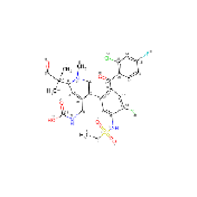 CCS(=O)(=O)Nc1cc(C2=CN(C)C(C(C)(C)C=O)C=C2CNC(=O)O)c(C(=O)c2ccc(F)cc2Cl)cc1Cl